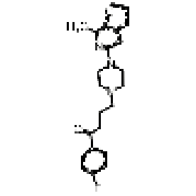 Cc1nc(N2CCN(CCCC(=O)c3ccc(F)cc3)CC2)cc2ccccc12